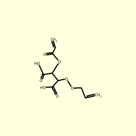 C=CCOOC(C(=O)O)C(OC(=O)C=C)C(=O)O